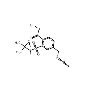 COC(=O)c1ccc(CN=[N+]=[N-])cc1S(=O)(=O)NC(C)(C)C